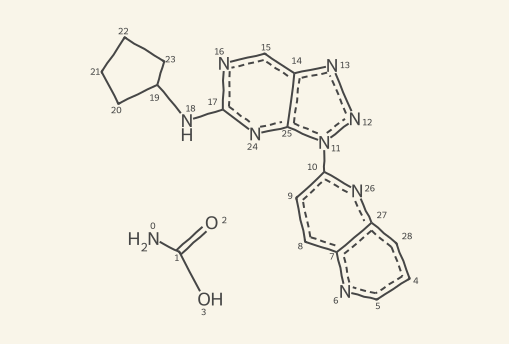 NC(=O)O.c1cnc2ccc(-n3nnc4cnc(NC5CCCC5)nc43)nc2c1